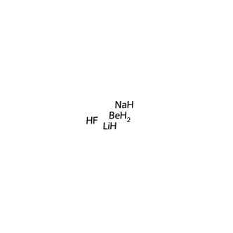 F.[BeH2].[LiH].[NaH]